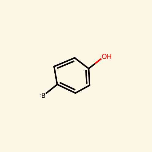 [B]c1ccc(O)cc1